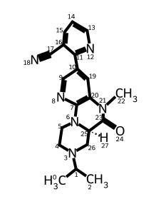 CC(C)N1CCN2c3ncc(-c4ncccc4C#N)cc3N(C)C(=O)[C@H]2C1